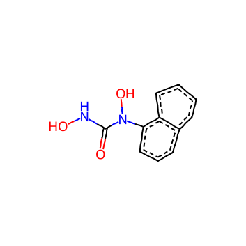 O=C(NO)N(O)c1cccc2ccccc12